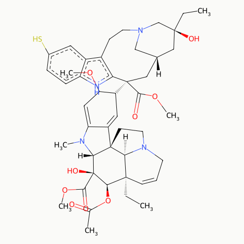 CC[C@]1(O)C[C@H]2CN(CCc3c([nH]c4ccc(S)cc34)[C@@](C(=O)OC)(C3C=C4C(=CC3OC)N(C)[C@H]3[C@@](O)(C(=O)OC)[C@H](OC(C)=O)[C@]5(CC)C=CCN6CC[C@]43[C@@H]65)C2)C1